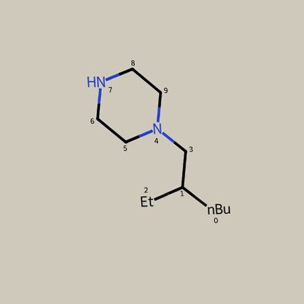 CCCCC(CC)CN1CCNCC1